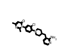 Cc1cc(=O)n(-c2ccc(N3CCC(Cc4cccnc4N)CC3)c(Cl)c2)c(C)n1